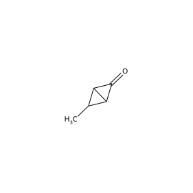 CC1[C]2C(=O)C21